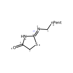 CCCCCC/N=C1/NC(=O)CS1